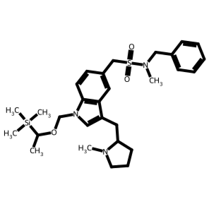 CC(OCn1cc(CC2CCCN2C)c2cc(CS(=O)(=O)N(C)Cc3ccccc3)ccc21)[Si](C)(C)C